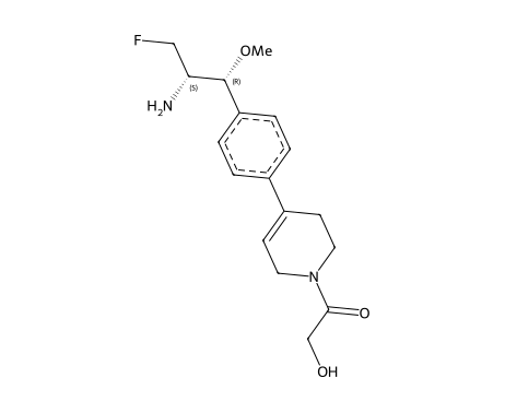 CO[C@H](c1ccc(C2=CCN(C(=O)CO)CC2)cc1)[C@H](N)CF